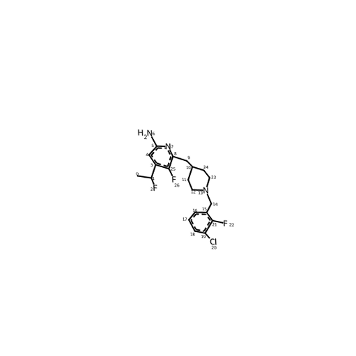 CC(F)c1cc(N)nc(CC2CCN(Cc3cccc(Cl)c3F)CC2)c1F